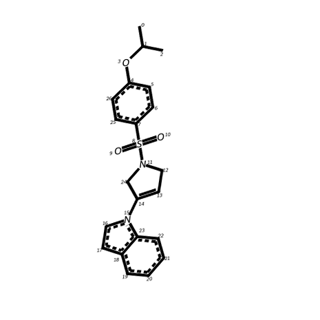 CC(C)Oc1ccc(S(=O)(=O)N2CC=C(n3ccc4ccccc43)C2)cc1